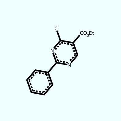 CCOC(=O)c1cnc(-c2ccccc2)nc1Cl